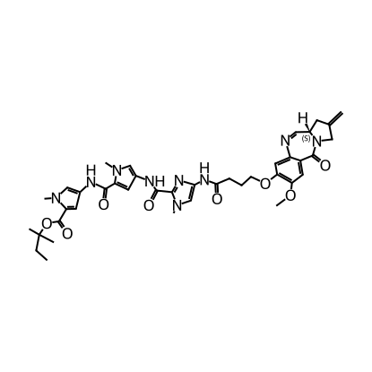 C=C1C[C@H]2C=Nc3cc(OCCCC(=O)Nc4cn(C)c(C(=O)Nc5cc(C(=O)Nc6cc(C(=O)OC(C)(C)CC)n(C)c6)n(C)c5)n4)c(OC)cc3C(=O)N2C1